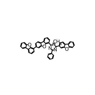 CN1C(c2ccc3c(c2)oc2ccccc23)=NC(c2ccccc2)=NC1c1cccc2c1oc1cc(-c3cccc4c3oc3ccccc34)ccc12